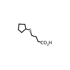 O=C(O)CCCSC1CCCC1